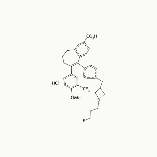 COc1ccc(C2=C(c3ccc(CC4CN(CCCF)C4)cc3)c3ccc(C(=O)O)cc3CCC2)cc1C(F)(F)F.Cl